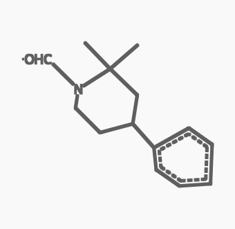 CC1(C)CC(c2ccccc2)CCN1[C]=O